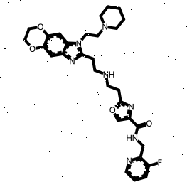 O=C(NCc1ncccc1F)c1coc(CCNCCc2nc3cc4c(cc3n2CCN2CCCCC2)OCCO4)n1